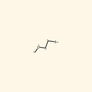 CO[CH]C[S]